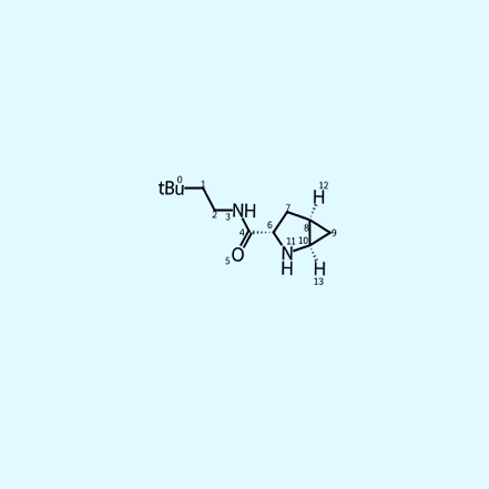 CC(C)(C)CCNC(=O)[C@@H]1C[C@H]2C[C@H]2N1